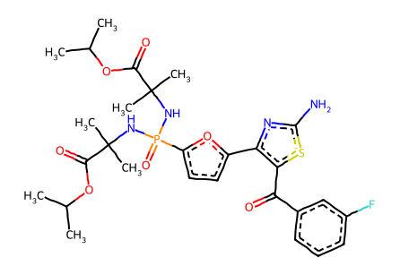 CC(C)OC(=O)C(C)(C)NP(=O)(NC(C)(C)C(=O)OC(C)C)c1ccc(-c2nc(N)sc2C(=O)c2cccc(F)c2)o1